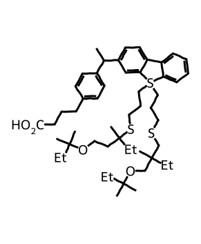 CCC(C)(COC(C)(C)CC)CSCCCS1(CCCSC(C)(CC)CCOC(C)(C)CC)c2ccccc2-c2ccc(C(C)c3ccc(CCCC(=O)O)cc3)cc21